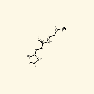 CCCOCCNC(=O)CCC1CCSS1